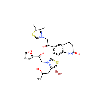 CCCC(O)Cc1csc[n+]1CC(=O)c1ccco1.Cc1sc[n+](CC(=O)c2ccc3c(c2)CCC(=O)N3)c1C.[Br-].[Br-]